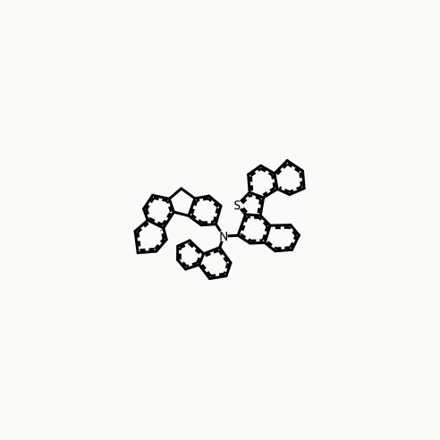 c1ccc2c(N(c3ccc4c(c3)-c3c(ccc5ccccc35)C4)c3cc4ccccc4c4c3sc3ccc5ccccc5c34)cccc2c1